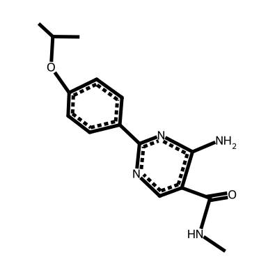 CNC(=O)c1cnc(-c2ccc(OC(C)C)cc2)nc1N